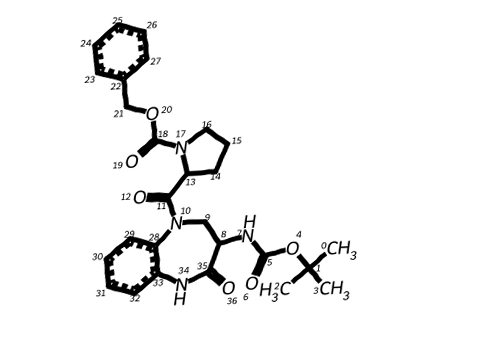 CC(C)(C)OC(=O)NC1CN(C(=O)C2CCCN2C(=O)OCc2ccccc2)c2ccccc2NC1=O